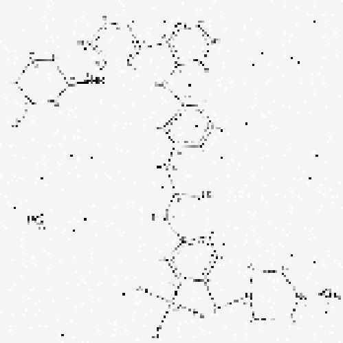 CN1CCN(Cc2ccc(NC(=O)Nc3cccc(Oc4ncccc4-c4ccnc(N[C@@H]5CNC[C@@H](F)C5)n4)c3)cc2C(F)(F)F)CC1.Cl